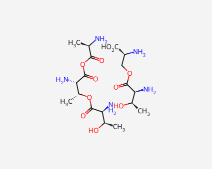 C[C@@H](N)C(=O)OC(=O)[C@@H](N)[C@@H](C)OC(=O)[C@@H](N)[C@@H](C)O.C[C@@H](O)[C@H](N)C(=O)OC[C@H](N)C(=O)O